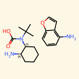 CC(C)(C)N(C(=O)O)[C@H]1CCCC[C@H]1N.Nc1cccc2occc12